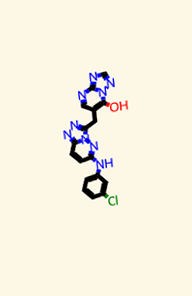 Oc1c(Cc2nnc3ccc(Nc4cccc(Cl)c4)nn23)cnc2ncnn12